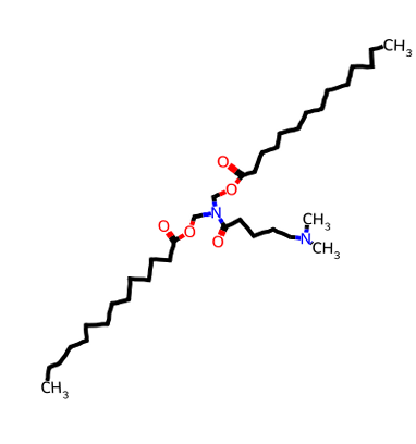 CCCCCCCCCCCCCC(=O)OCN(COC(=O)CCCCCCCCCCCCC)C(=O)CCCCN(C)C